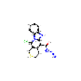 N=NNC(=O)c1c2c(c(Cl)n3c1nc1ccccc13)CSCC2